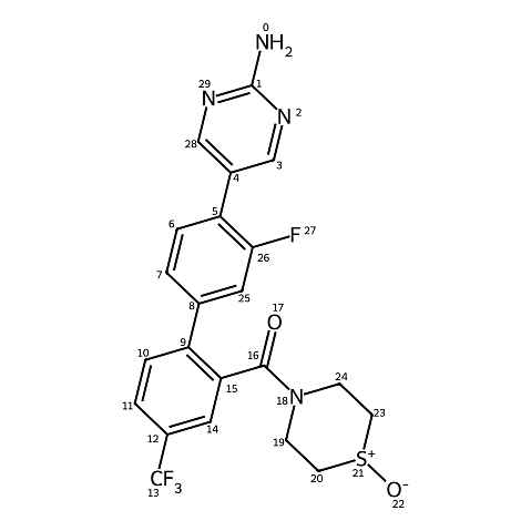 Nc1ncc(-c2ccc(-c3ccc(C(F)(F)F)cc3C(=O)N3CC[S+]([O-])CC3)cc2F)cn1